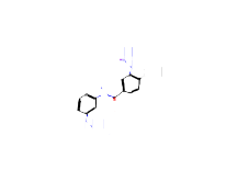 Cc1ccc(C(=O)Nc2cccc(N)c2)cc1NI